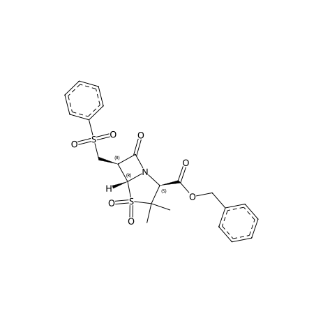 CC1(C)[C@H](C(=O)OCc2ccccc2)N2C(=O)[C@H](CS(=O)(=O)c3ccccc3)[C@H]2S1(=O)=O